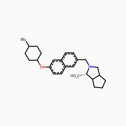 CC(C)(C)C1CCC(Oc2ccc3cc(CN4CC5CCCC5[C@@H]4C(=O)O)ccc3c2)CC1